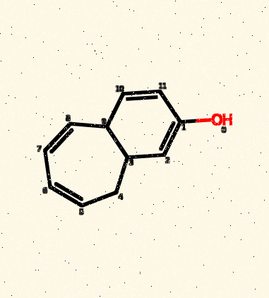 OC1=CC2CC=CC=CC2C=C1